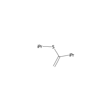 C=C(SC(C)C)C(C)C